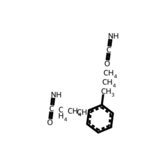 C.C.C.C.C.Cc1ccccc1.N=C=O.N=C=O